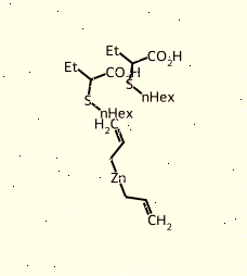 C=C[CH2][Zn][CH2]C=C.CCCCCCSC(CC)C(=O)O.CCCCCCSC(CC)C(=O)O